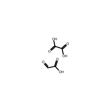 O=C(O)C(=O)O.O=CC(=O)O